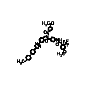 CC[C@H]1CC[C@H](C2CC=C(c3cnc(-c4ccc(CN(CC(=O)N5CC[C@H](C(C)=O)C5)C(=O)c5ccc(NC(=O)Cc6ccc(OC)cc6C(F)(F)F)cc5)cc4)nc3)CC2)CC1